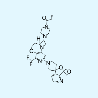 C=CC(=O)N1CCN([C@@H]2CN3c4cc(N5CCC6(CC5)OC5(COC5)c5nccc(C)c56)nc(C(F)F)c4OCC[C@@H]23)CC1